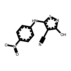 N#Cc1c(O)nsc1Nc1ccc([N+](=O)[O-])cc1